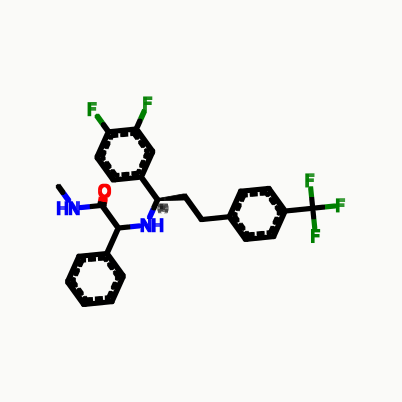 CNC(=O)C(N[C@H](CCc1ccc(C(F)(F)F)cc1)c1ccc(F)c(F)c1)c1ccccc1